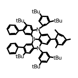 Cc1cc(C)c(-c2cc3c4c(c2)N(c2cc(C(C)(C)C)cc(C(C)(C)C)c2)c2cc(C(C)(C)C)c(-c5ccccc5)cc2B4c2cc(-c4ccccc4)c(C(C)(C)C)cc2N3c2cc(C(C)(C)C)cc(C(C)(C)C)c2)c(C)c1